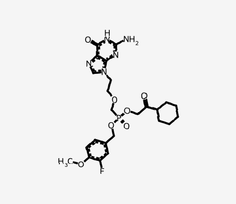 COc1ccc(COP(=O)(COCCn2cnc3c(=O)[nH]c(N)nc32)OCC(=O)C2CCCCC2)cc1F